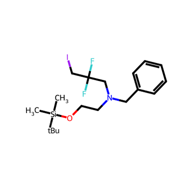 CC(C)(C)[Si](C)(C)OCCN(Cc1ccccc1)CC(F)(F)CI